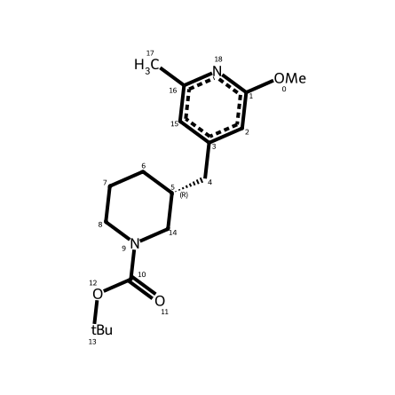 COc1cc(C[C@H]2CCCN(C(=O)OC(C)(C)C)C2)cc(C)n1